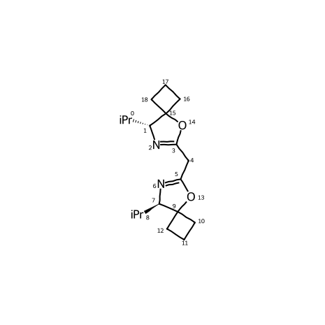 CC(C)[C@H]1N=C(CC2=N[C@H](C(C)C)C3(CCC3)O2)OC12CCC2